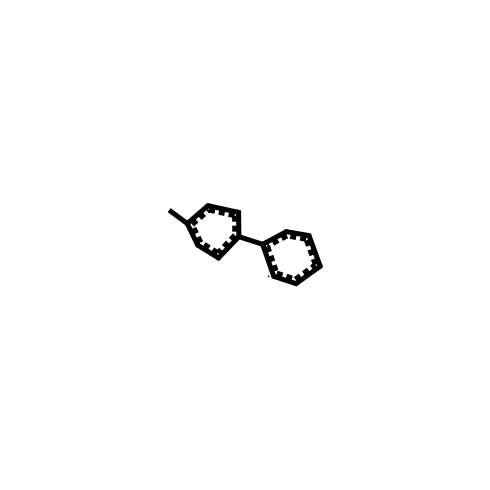 Cc1ccc(-c2[c]cccc2)cc1